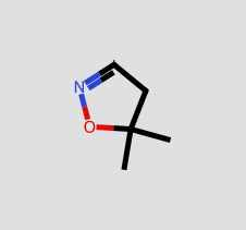 CC1(C)C[C]=NO1